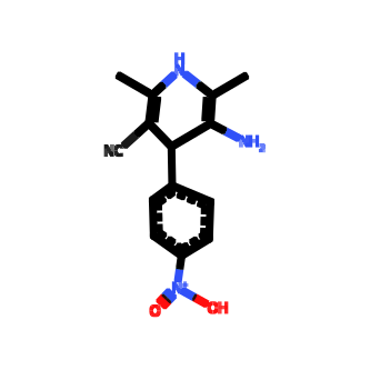 CC1=C(N)C(c2ccc([N+](=O)O)cc2)C(C#N)=C(C)N1